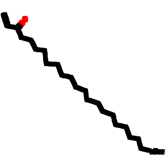 C=CC(=O)CCCCCCCCCCCCCCCCCCCCCCCCCCCCC